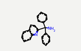 NC(c1ccccc1)(c1ccccc1)c1ccc2ccccc2n1